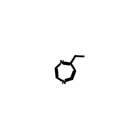 CCC1=NC=CN=C=C1